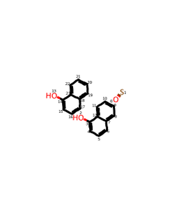 O=S.Oc1cccc2ccccc12.Oc1cccc2ccccc12